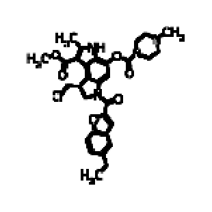 CCc1ccc2oc(C(=O)N3C[C@@H](CCl)c4c3cc(OC(=O)N3CCN(C)CC3)c3[nH]c(C)c(C(=O)OC)c43)cc2c1